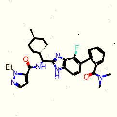 CCn1nccc1C(=O)N[C@H](c1nc2c(F)c(-c3ccccc3C(=O)N(C)C)ccc2[nH]1)[C@H]1CC[C@H](C)CC1